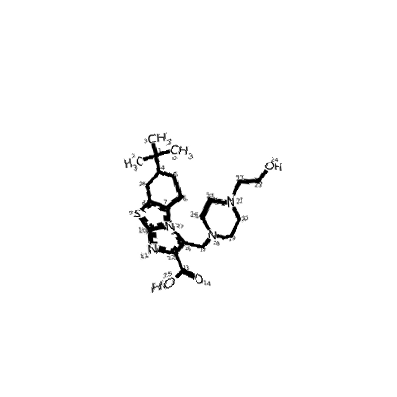 CC(C)(C)C1CCc2c(sc3nc(C(=O)O)c(CN4CCN(CCO)CC4)n23)C1